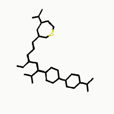 CCC(CCCC1CSCCC(C(C)C)C1)CC(C(C)C)C1CCC(C2CCC(C(C)C)CC2)CC1